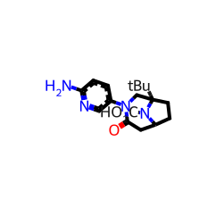 CC(C)(C)C12CCC(CC(=O)N(c3ccc(N)nc3)C1)N2C(=O)O